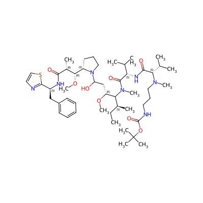 CC[C@H](C)C([C@@H](CC(O)N1CCC[C@H]1[C@H](OC)[C@@H](C)C(=O)N[C@@H](Cc1ccccc1)c1nccs1)OC)N(C)C(=O)[C@@H](NC(=O)[C@H](C(C)C)N(C)CCCNC(=O)OC(C)(C)C)C(C)C